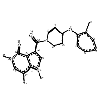 Cc1ccccc1OC1CCN(C(=O)c2cn(C)c3c(C)cn(C)c(=O)c23)CC1